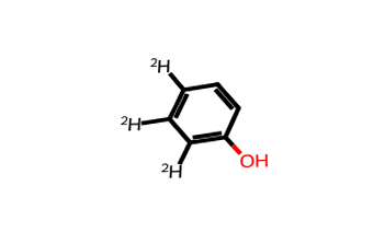 [2H]c1ccc(O)c([2H])c1[2H]